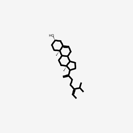 C=C(CC/C(=C/C)C(C)C)C1CCC2C3CC=C4C[C@@H](O)CC[C@]4(C)C3CC[C@]12C